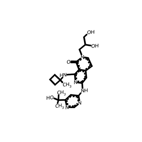 CC1(Nc2nc(Nc3cc(C(C)(C)O)ncn3)cc3ccn(CC(O)CO)c(=O)c23)CCC1